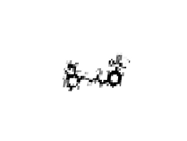 NS(=O)(=O)c1cccc(CC(=O)COc2ncnc3sccc23)c1